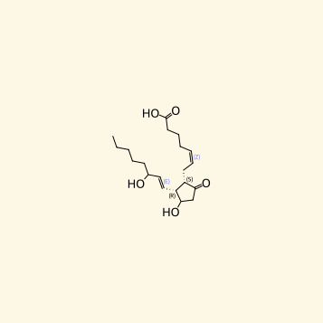 CCCCCC(O)/C=C/[C@H]1C(O)CC(=O)[C@H]1C/C=C\CCCC(=O)O